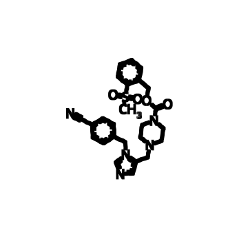 CS(=O)(=O)c1ccccc1COC(=O)N1CCN(Cc2cncn2Cc2ccc(C#N)cc2)CC1